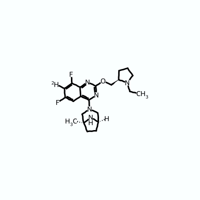 [2H]c1c(F)cc2c(N3C[C@H]4CC[C@@](C)(C3)N4)nc(OC[C@H]3CCCN3CC)nc2c1F